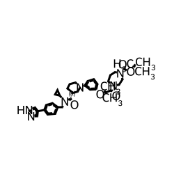 CC(C)(C)OC(=O)N1CCCN(C(=O)C(C)(C)Oc2cccc(N3CCC[C@@H](C(=O)N(Cc4ccc(-c5cn[nH]c5)cc4)C4CC4)C3)c2)CC1